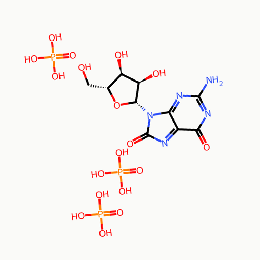 NC1=NC(=O)C2=NC(=O)N([C@@H]3O[C@H](CO)[C@@H](O)[C@H]3O)C2=N1.O=P(O)(O)O.O=P(O)(O)O.O=P(O)(O)O